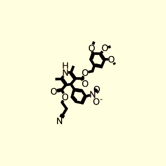 COc1cc(COC(=O)C2=C(C)NC(C)=C(C(=O)OCCC#N)C2c2cccc([N+](=O)[O-])c2)cc(OC)c1OC